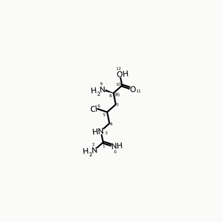 N=C(N)NCC(Cl)C[C@@H](N)C(=O)O